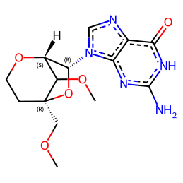 COC[C@]12CCO[C@@H](C1OC)[C@H](n1cnc3c(=O)[nH]c(N)nc31)O2